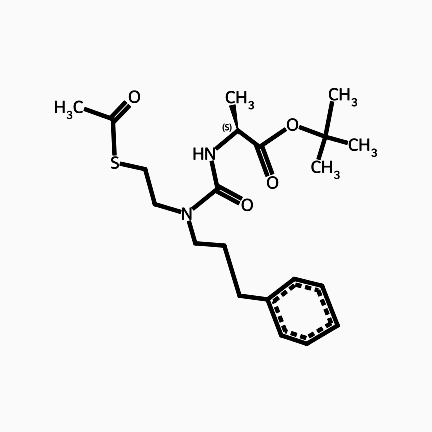 CC(=O)SCCN(CCCc1ccccc1)C(=O)N[C@@H](C)C(=O)OC(C)(C)C